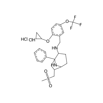 CS(=O)(=O)CC1CC2(c3ccccc3)NC1CCC2NCc1cc(OC(F)(F)F)ccc1OC1CC1.Cl.Cl